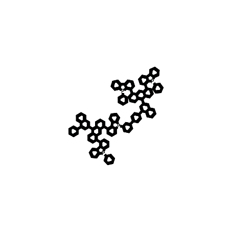 c1ccc(-c2cc(-c3c4cccc(-c5cccc6c5c5ccccc5p6-c5ccccc5)c4cc4c(-c5cccc6c5c5ccccc5p6-c5cccc(-c6ccc(-c7cc(-c8c9cccc(-c%10cccc%11c%12ccccc%12p(-c%12ccccc%12)c%10%11)c9cc9c(-c%10cccc%11c%12ccccc%12p(-c%12ccccc%12)c%10%11)cccc89)cc8ccccc78)cc6)c5)cccc34)cc3ccccc23)cc1